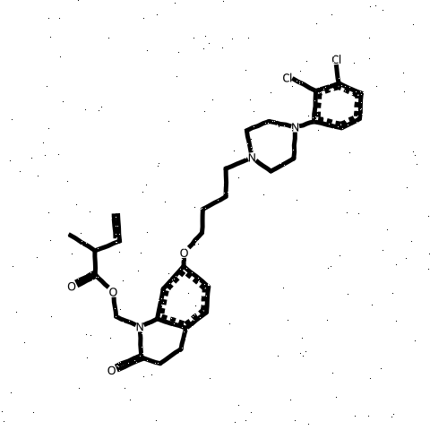 C=CC(C)C(=O)OCN1C(=O)CCc2ccc(OCCCCN3CCN(c4cccc(Cl)c4Cl)CC3)cc21